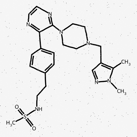 Cc1c(CN2CCN(c3nccnc3-c3ccc(CCNS(C)(=O)=O)cc3)CC2)cnn1C